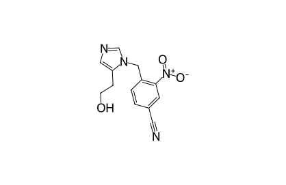 N#Cc1ccc(Cn2cncc2CCO)c([N+](=O)[O-])c1